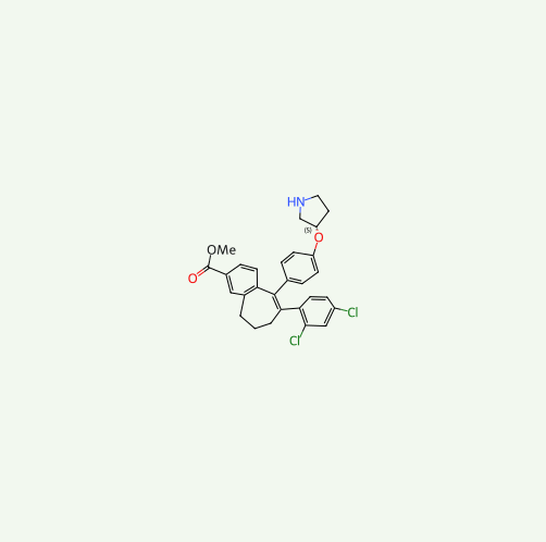 COC(=O)c1ccc2c(c1)CCCC(c1ccc(Cl)cc1Cl)=C2c1ccc(O[C@H]2CCNC2)cc1